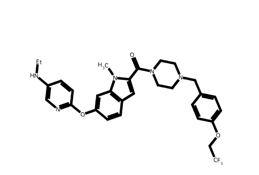 CCNc1ccc(Oc2ccc3cc(C(=O)N4CCN(Cc5ccc(OCC(F)(F)F)cc5)CC4)n(C)c3c2)nc1